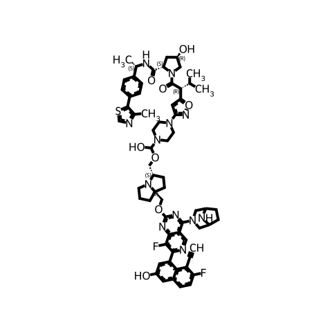 C#Cc1c(F)ccc2cc(O)cc(-c3ncc4c(N5CC6CCC(C5)N6)nc(OC[C@@]56CCCN5[C@H](COC(O)N5CCN(c7cc([C@H](C(=O)N8C[C@H](O)C[C@H]8C(=O)N[C@@H](C)c8ccc(-c9scnc9C)cc8)C(C)C)on7)CC5)CC6)nc4c3F)c12